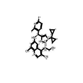 Cc1nc(F)ccc1[C@H](Nc1cc(Cl)c2ncc(C#N)c(NCC(C)(C)C)c2c1)C1=CN(C2(C3CC3)CC2)NN1